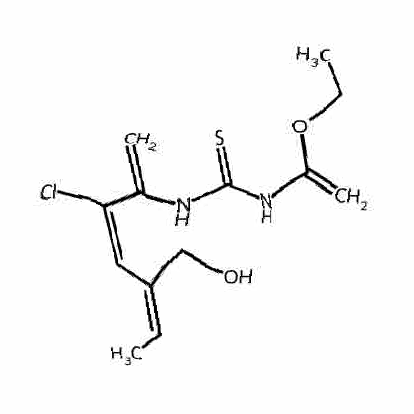 C=C(NC(=S)NC(=C)/C(Cl)=C\C(=C/C)CO)OCC